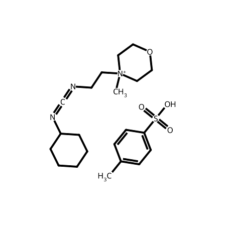 C[N+]1(CCN=C=NC2CCCCC2)CCOCC1.Cc1ccc(S(=O)(=O)O)cc1